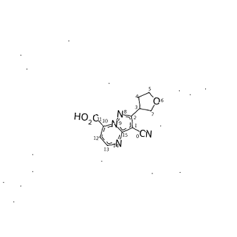 N#Cc1c(C2CCOC2)nn2c(C(=O)O)ccnc12